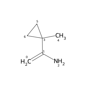 C=C(N)C1(C)CC1